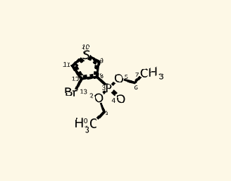 CCOP(=O)(OCC)c1cscc1Br